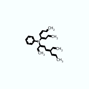 C=C/C=C\C(=C/C=C)N(/C(C=C)=C/C=C(C=C)/C=C/C)c1ccccc1